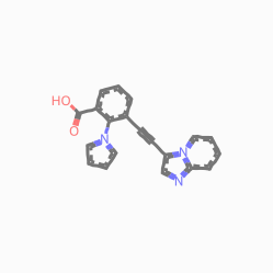 O=C(O)c1cccc(C#Cc2cnc3ccccn23)c1-n1cccc1